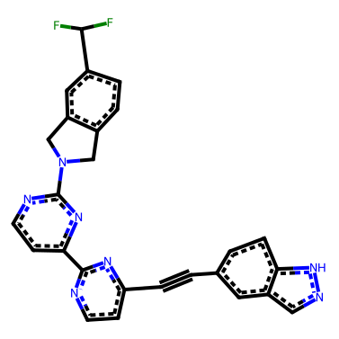 FC(F)c1ccc2c(c1)CN(c1nccc(-c3nccc(C#Cc4ccc5[nH]ncc5c4)n3)n1)C2